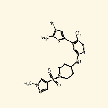 Cc1sc(-c2nc(NC3CCN(S(=O)(=O)c4cnn(C)c4)CC3)ncc2C(F)(F)F)cc1C#N